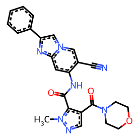 Cn1ncc(C(=O)N2CCOCC2)c1C(=O)Nc1cc2nc(-c3ccccc3)cn2cc1C#N